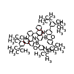 CC(C)(C)c1cc(-c2cc3c4c(c2)N(c2ccccc2)c2cc5c(cc2B4c2ccc(C(C)(C)C)cc2O3)B2c3ccc(C(C)(C)C)cc3Oc3cc(-c4cc(C(C)(C)C)cc(C(C)(C)C)c4)cc(c32)N5c2c(-c3ccccc3)cccc2-c2ccccc2)cc(C(C)(C)C)c1